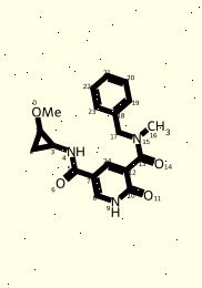 COC1CC1NC(=O)c1c[nH]c(=O)c(C(=O)N(C)Cc2ccccc2)c1